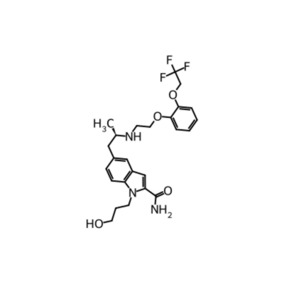 C[C@H](Cc1ccc2c(c1)cc(C(N)=O)n2CCCO)NCCOc1ccccc1OCC(F)(F)F